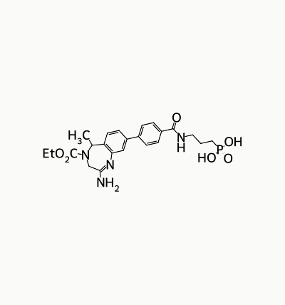 CCOC(=O)N1CC(N)=Nc2cc(-c3ccc(C(=O)NCCCP(=O)(O)O)cc3)ccc2C1C